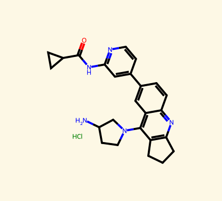 Cl.NC1CCN(c2c3c(nc4ccc(-c5ccnc(NC(=O)C6CC6)c5)cc24)CCC3)C1